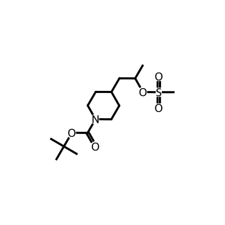 CC(CC1CCN(C(=O)OC(C)(C)C)CC1)OS(C)(=O)=O